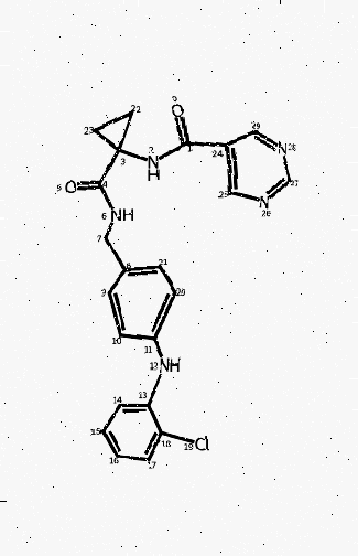 O=C(NC1(C(=O)NCc2ccc(Nc3ccccc3Cl)cc2)CC1)c1cncnc1